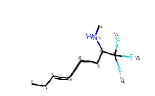 CC/C=C/CCC(NC)C(F)(F)F